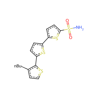 CCCCc1ccsc1-c1ccc(-c2ccc(S(N)(=O)=O)s2)s1